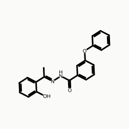 C/C(=N\NC(=O)c1cccc(Oc2ccccc2)c1)c1ccccc1O